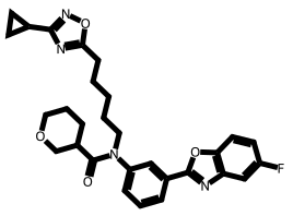 O=C(C1CCCOC1)N(CCCCCc1nc(C2CC2)no1)c1cccc(-c2nc3cc(F)ccc3o2)c1